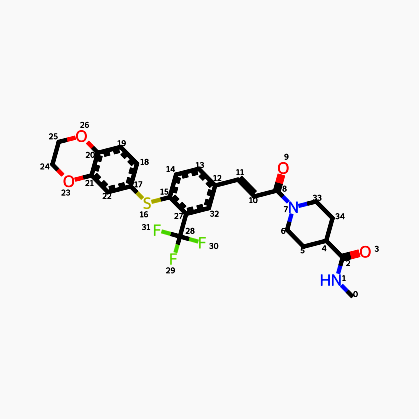 CNC(=O)C1CCN(C(=O)C=Cc2ccc(Sc3ccc4c(c3)OCCO4)c(C(F)(F)F)c2)CC1